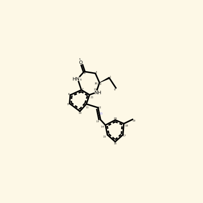 CC[C@@H]1CC(=O)Nc2cccc(/C=C/c3cccc(C)c3)c2N1